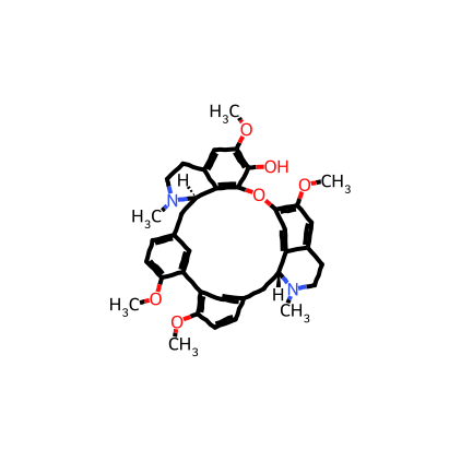 COc1cc2c3cc1Oc1c(O)c(OC)cc4c1[C@@H](Cc1ccc(OC)c(c1)-c1cc(ccc1OC)C[C@H]3N(C)CC2)N(C)CC4